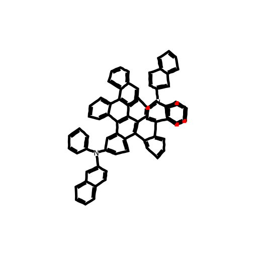 c1ccc(N(c2ccc3ccccc3c2)c2ccc3c(-c4ccccc4-c4cccc5ccccc45)c4cc(N(c5ccccc5)c5ccc6ccccc6c5)ccc4c(-c4ccccc4-c4cccc5ccccc45)c3c2)cc1